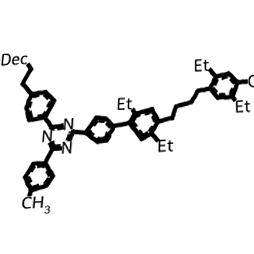 CCCCCCCCCCCCc1ccc(-c2nc(-c3ccc(C)cc3)nc(-c3ccc(-c4cc(CC)c(CCCCc5cc(CC)c(C)cc5CC)cc4CC)cc3)n2)cc1